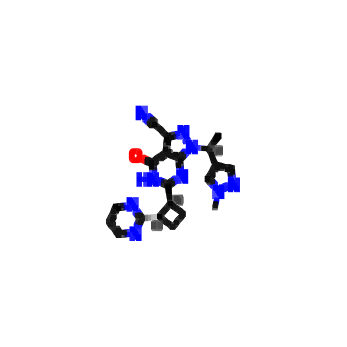 C[C@@H](c1cnn(C)c1)n1nc(C#N)c2c(=O)[nH]c([C@H]3CC[C@@H]3c3ncccn3)nc21